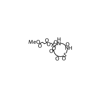 COC(=O)CCC(=O)OCC(C)(C)[C@H]1OC(=O)CCC(=O)CC(=O)SCCNC(=O)CCNC1=O